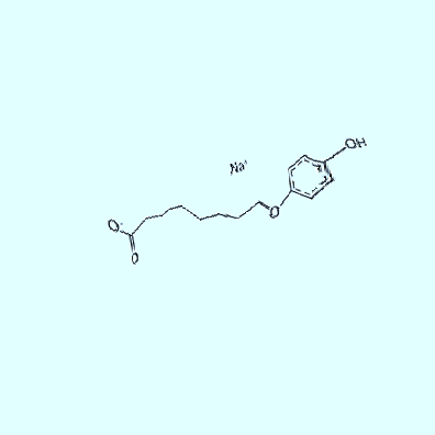 O=C([O-])CCCCCCCOc1ccc(O)cc1.[Na+]